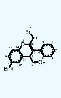 O=CC1C(c2ccccc2)=C(CBr)Oc2ccc(Br)cc21